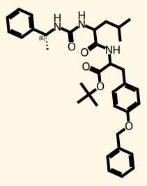 CC(C)CC(NC(=O)N[C@H](C)c1ccccc1)C(=O)NC(Cc1ccc(OCc2ccccc2)cc1)C(=O)OC(C)(C)C